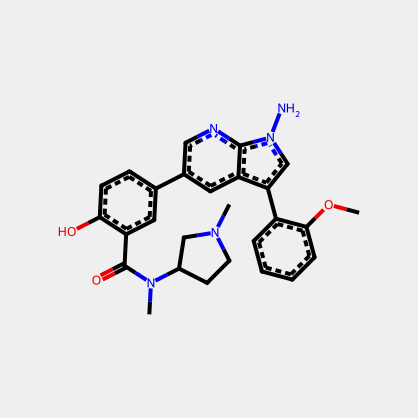 COc1ccccc1-c1cn(N)c2ncc(-c3ccc(O)c(C(=O)N(C)C4CCN(C)C4)c3)cc12